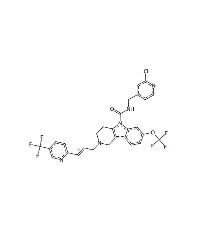 O=C(NCc1ccnc(Cl)c1)n1c2c(c3ccc(OC(F)(F)F)cc31)CN(C/C=C/c1ccc(C(F)(F)F)cn1)CC2